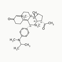 CC(=O)[C@H]1CC[C@@]2(C)[C@]3(C)CCC4=CC(=O)CCC4=C3[C@@H](c3ccc(N(C)C(C)C)cc3)C[C@]12C